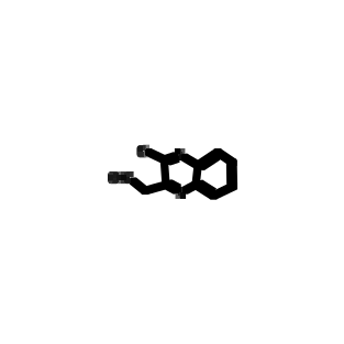 O=CCc1nc2ccccc2nc1Cl